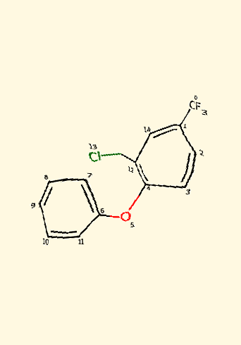 FC(F)(F)c1ccc(Oc2cc[c]cc2)c(Cl)c1